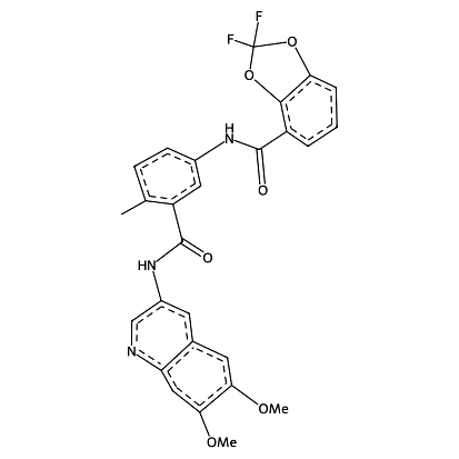 COc1cc2cc(NC(=O)c3cc(NC(=O)c4cccc5c4OC(F)(F)O5)ccc3C)cnc2cc1OC